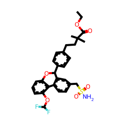 CCOC(=O)C(C)(C)CCc1ccc(C2Oc3cccc(OC(F)F)c3-c3ccc(CS(N)(=O)=O)cc32)cc1